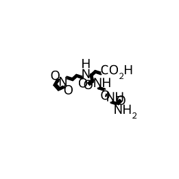 NC(=O)CNOCCNC(=O)C(CCC(=O)O)NC(=O)CCCN1C(=O)C=CC1=O